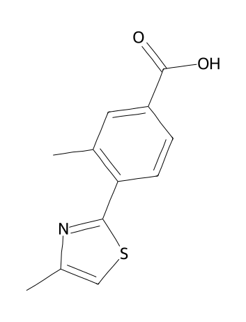 Cc1csc(-c2ccc(C(=O)O)cc2C)n1